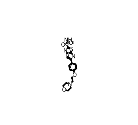 NS(=O)(=O)c1nn2cc(-c3ccc(OCCN4CCOCC4)cc3)nc2s1